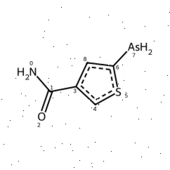 NC(=O)c1[c]sc([AsH2])c1